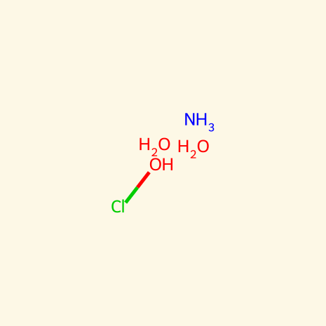 N.O.O.OCl